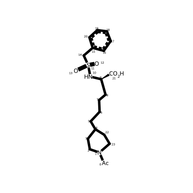 CC(=O)N1CCC(CCCC[C@@H](NS(=O)(=O)Cc2ccccc2)C(=O)O)CC1